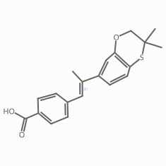 C/C(=C\c1ccc(C(=O)O)cc1)c1ccc2c(c1)OCC(C)(C)S2